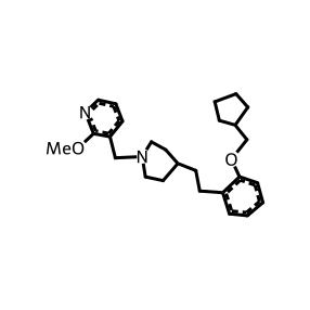 COc1ncccc1CN1CCC(CCc2ccccc2OCC2CCCC2)CC1